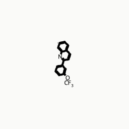 FC(F)(F)Oc1cccc(-c2ccc3cc[c]cc3n2)c1